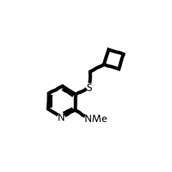 CNc1ncccc1SCC1CCC1